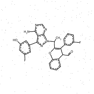 CC(C1=C(c2cccc(F)c2)C(C=O)c2ccccc2O1)n1nc(-c2cc(O)cc(F)c2)c2c(N)ncnc21